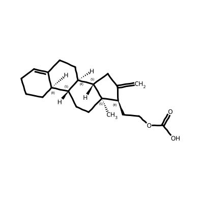 C=C1C[C@H]2[C@@H]3CCC4=CCCC[C@@H]4[C@H]3CC[C@]2(C)[C@@H]1CCOC(=O)O